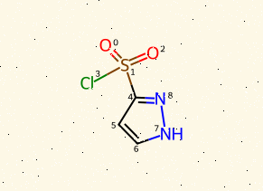 O=S(=O)(Cl)c1cc[nH]n1